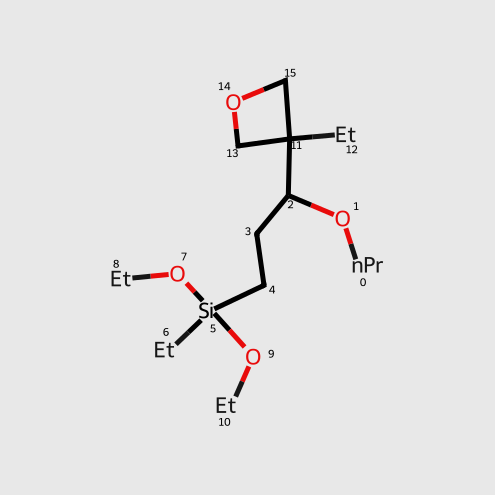 CCCOC(CC[Si](CC)(OCC)OCC)C1(CC)COC1